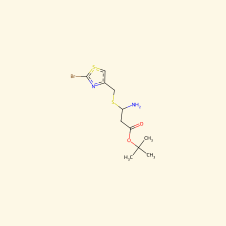 CC(C)(C)OC(=O)CC(N)SCc1csc(Br)n1